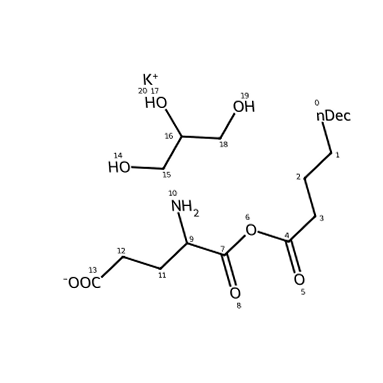 CCCCCCCCCCCCCC(=O)OC(=O)C(N)CCC(=O)[O-].OCC(O)CO.[K+]